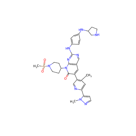 Cc1cc(-c2ccnn2C)ncc1-c1cc2cnc(Nc3ccc(NC4CCNC4)cc3)nc2n(C2CCN(S(C)(=O)=O)CC2)c1=O